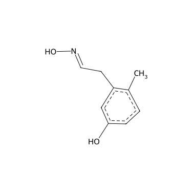 Cc1ccc(O)cc1CC=NO